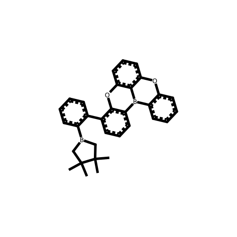 CC1(C)CB(c2ccccc2-c2cccc3c2Oc2cccc4c2B3c2ccccc2O4)CC1(C)C